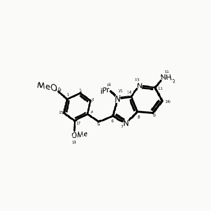 COc1ccc(Cc2nc3ccc(N)nc3n2C(C)C)c(OC)c1